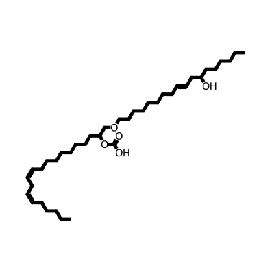 CCCCC/C=C\C/C=C\CCCCCCCCC(COCCCCCCCCC=CCC(O)CCCCCC)OC(=O)O